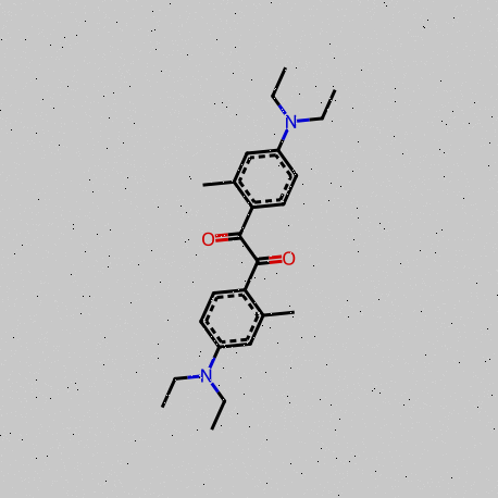 CCN(CC)c1ccc(C(=O)C(=O)c2ccc(N(CC)CC)cc2C)c(C)c1